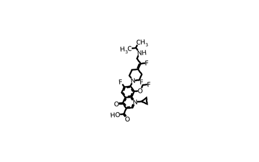 CC(C)NCC(F)=C1CCN(c2c(F)cc3c(=O)c(C(=O)O)cn(C4CC4)c3c2OC(F)F)CC1